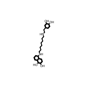 Oc1ccc(CCNCCCCCCCCNc2cccc3c(O)c(O)ccc23)cc1O